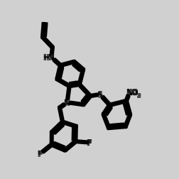 C=CCNc1ccc2c(Sc3ccccc3[N+](=O)[O-])cn(Cc3cc(F)cc(F)c3)c2c1